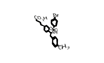 Cc1ccc(CC(NS(=O)(=O)c2ccc(Br)cc2)c2ccc(CCCC(=O)O)cc2)cc1